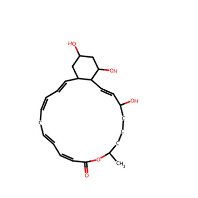 CC1CCCC(O)/C=C/C2C(O)CC(O)CC2/C=C/C=C\C/C=C/C=C\C(=O)O1